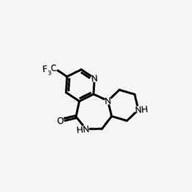 O=C1NCC2CNCCN2c2ncc(C(F)(F)F)cc21